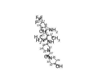 CCC(=C(/N)c1ccc(C(F)(F)F)cc1O)/C(CC)=C(\N)NC1CCCN(CC(=O)N2CCC(O)CC2)C1